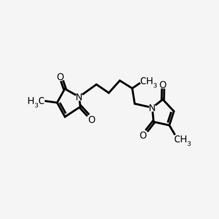 CC1=CC(=O)N(CCCC(C)CN2C(=O)C=C(C)C2=O)C1=O